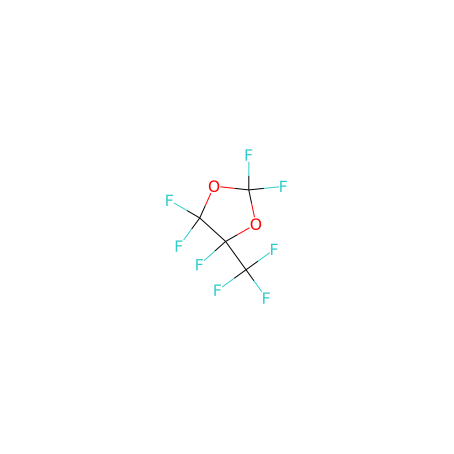 FC1(F)OC(F)(F)C(F)(C(F)(F)F)O1